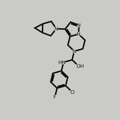 OC(Nc1ccc(F)c(Cl)c1)N1CCn2ncc(N3CC4CC4C3)c2C1